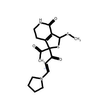 CSC1SC(C(C)=O)(C(=O)/C=C/N2CCCC2)C2=C1C(=O)NCC2